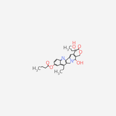 CCCC(=O)Oc1ccc2nc3c(c(CC)c2c1)CN1C3=CC2=C(COC(=O)[C@]2(O)CC)C1O